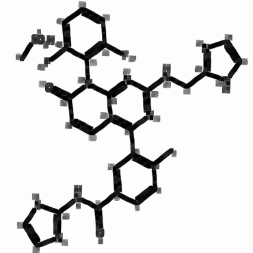 CS(=O)(=O)O.Cc1ccc(C(=O)Nc2nccs2)cc1-c1nc(NCc2ncc[nH]2)nc2c1ccc(=O)n2-c1c(F)cccc1F